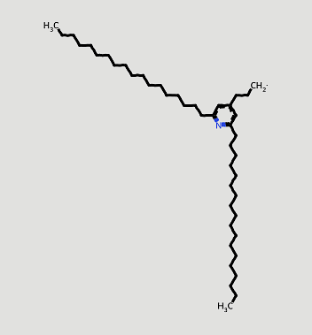 [CH2]CCc1cc(CCCCCCCCCCCCCCCCCC)nc(CCCCCCCCCCCCCCCCCC)c1